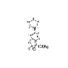 COC1(c2ccc(N3CCCCC3)cc2)OC1(C)C